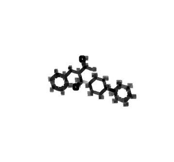 CC(=O)C(Cc1ccccc1)C(=O)[C@H]1CC[C@H](c2ccccc2)CC1